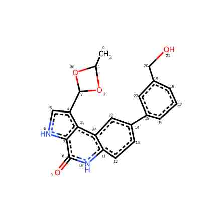 CC1OC(c2c[nH]c3c(=O)[nH]c4ccc(-c5cccc(CO)c5)cc4c23)O1